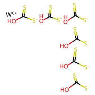 OC(=S)[S-].OC(=S)[S-].OC(=S)[S-].OC(=S)[S-].OC(=S)[S-].OC(=S)[S-].[W+6]